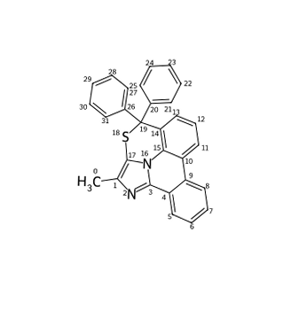 Cc1nc2c3ccccc3c3cccc4c3n2c1SC4(c1ccccc1)c1ccccc1